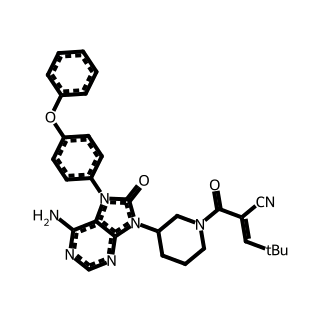 CC(C)(C)C=C(C#N)C(=O)N1CCCC(n2c(=O)n(-c3ccc(Oc4ccccc4)cc3)c3c(N)ncnc32)C1